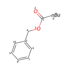 CCCCC(=O)OCc1ccccc1